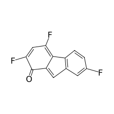 O=C1C(F)=CC(F)=C2C1=Cc1cc(F)ccc12